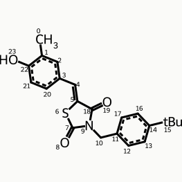 Cc1cc(/C=C2\SC(=O)N(Cc3ccc(C(C)(C)C)cc3)C2=O)ccc1O